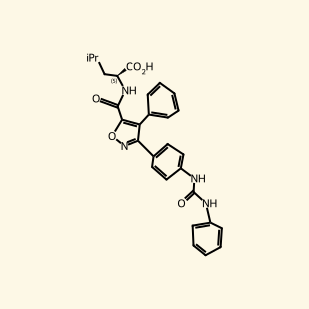 CC(C)C[C@H](NC(=O)c1onc(-c2ccc(NC(=O)Nc3ccccc3)cc2)c1-c1ccccc1)C(=O)O